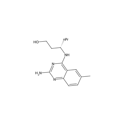 CCC[C@@H](CCO)Nc1nc(N)nc2ccc(C)cc12